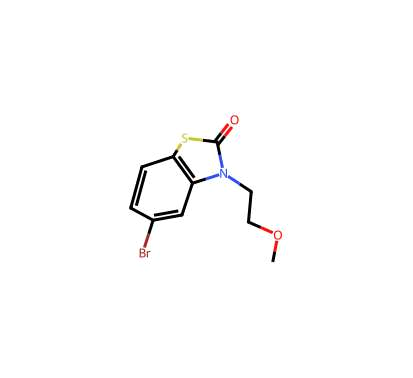 COCCn1c(=O)sc2ccc(Br)cc21